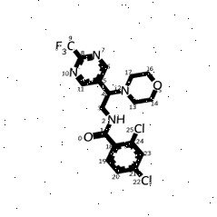 O=C(NCC(c1cnc(C(F)(F)F)nc1)N1CCOCC1)c1ccc(Cl)cc1Cl